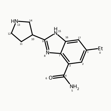 CCc1cc(C(N)=O)c2nc(C3CCNC3)[nH]c2c1